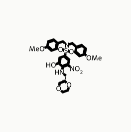 COc1ccc(CN(Cc2ccc(OC)cc2)S(=O)(=O)c2cc(O)c(NC[C@H]3COCCO3)c([N+](=O)[O-])c2)cc1